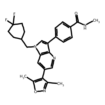 CNC(=O)c1ccc(-c2cn(CC3CCC(F)(F)CC3)c3cc(-c4c(C)noc4C)cnc23)cc1